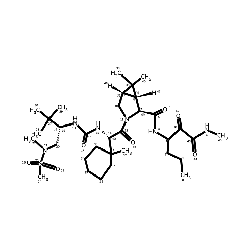 CCCC(NC(=O)[C@@H]1[C@@H]2[C@H](CN1C(=O)[C@@H](NC(=O)N[C@H](CN(C)S(C)(=O)=O)C(C)(C)C)C1(C)CCCCC1)C2(C)C)C(=O)C(=O)NC